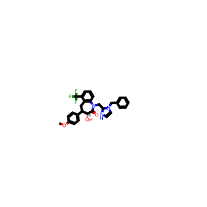 COc1ccc(C2Cc3c(cccc3C(F)(F)F)N(CC3NC=CN3Cc3ccccc3)C(=O)[C@@H]2O)cc1